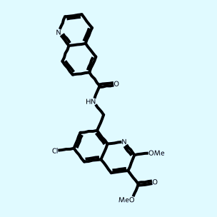 COC(=O)c1cc2cc(Cl)cc(CNC(=O)c3ccc4ncccc4c3)c2nc1OC